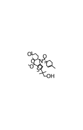 COC(=O)c1sc(C(C)(C)CO)cc1N(C(=O)[C@H]1CC=C(C)CC1)[C@H]1CC[C@@]2(CC1)CO2